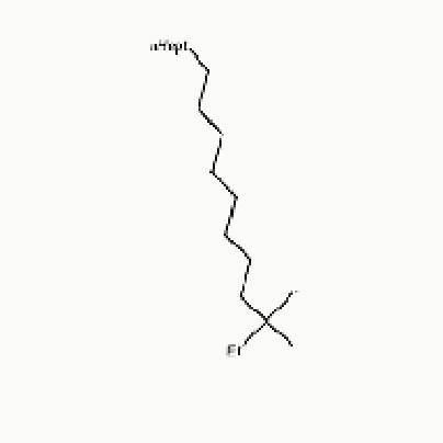 [CH2]C(C)(CC)CCCCCCCCCCCCCCC